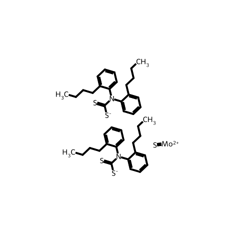 CCCCc1ccccc1N(C(=S)[S-])c1ccccc1CCCC.CCCCc1ccccc1N(C(=S)[S-])c1ccccc1CCCC.[S]=[Mo+2]